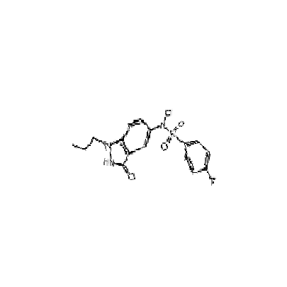 CCCn1[nH]c(=O)c2cc(N(Cl)S(=O)(=O)c3ccc(F)cc3)ccc21